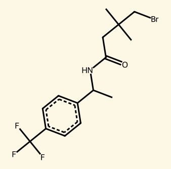 CC(NC(=O)CC(C)(C)CBr)c1ccc(C(F)(F)F)cc1